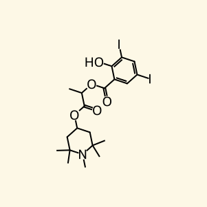 CC(OC(=O)c1cc(I)cc(I)c1O)C(=O)OC1CC(C)(C)N(C)C(C)(C)C1